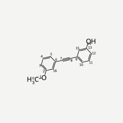 COc1cccc(C#Cc2cccc(O)c2)c1